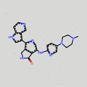 CN1CCN(c2ccc(Nc3cnc(-c4c[nH]c5ccncc45)c4c3C(=O)NC4)nc2)CC1